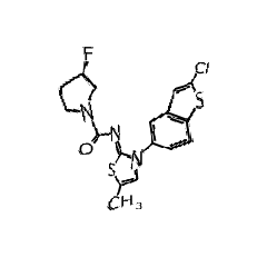 Cc1cn(-c2ccc3sc(Cl)cc3c2)c(=NC(=O)N2CC[C@@H](F)C2)s1